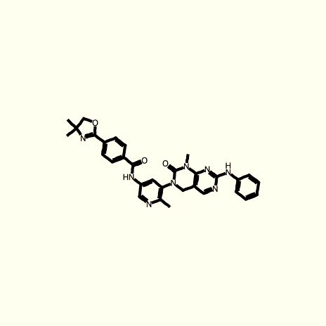 Cc1ncc(NC(=O)c2ccc(C3=NC(C)(C)CO3)cc2)cc1N1Cc2cnc(Nc3ccccc3)nc2N(C)C1=O